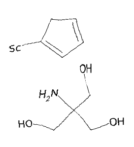 NC(CO)(CO)CO.[Sc][C]1=CC=CC1